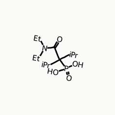 CCN(CC)C(=O)C(C(C)C)(C(C)C)P(=O)(O)O